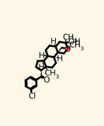 COC[C@]12CC[C@@](C)(O)C[C@@H]1CC[C@H]1[C@@H]3CC[C@H](C(=O)c4cccc(Cl)c4)[C@@]3(C)CC[C@@H]12